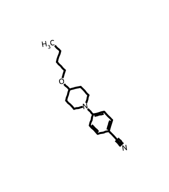 CCCCOC1CCN(c2ccc(C#N)cc2)CC1